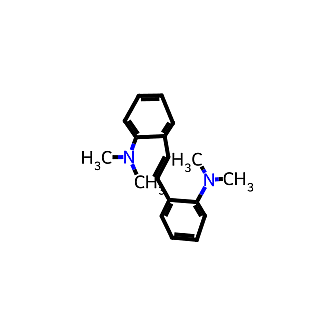 CN(C)c1ccccc1C=Cc1ccccc1N(C)C